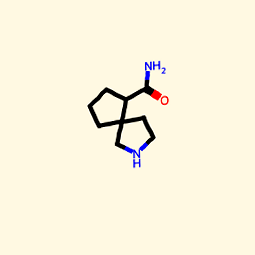 NC(=O)C1CCCC12CCNC2